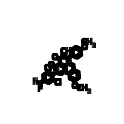 COC(=O)c1c(N(Cc2ccc(OC)cc2)Cc2ccc(OC)cc2)ncn(-c2c(C)cc(C(F)F)cc2Cl)c1=O